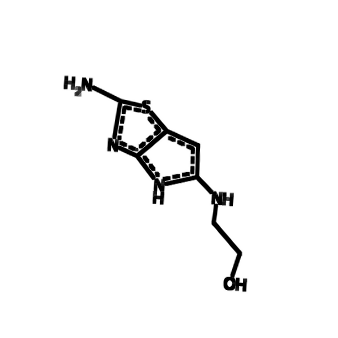 Nc1nc2[nH]c(NCCO)cc2s1